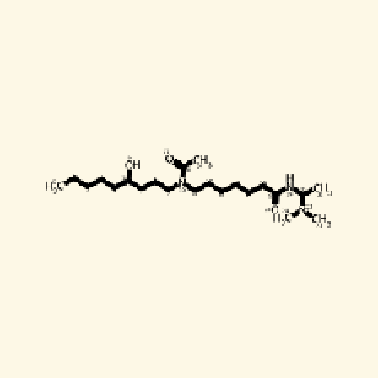 CCCCCC(O)CCCN(CCCCCCC(=O)NC(C)N(C)C)C(C)=O